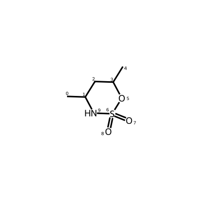 CC1CC(C)OS(=O)(=O)N1